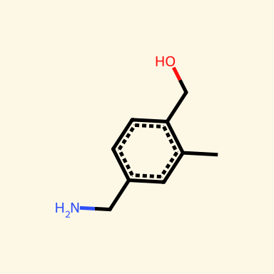 Cc1cc(CN)ccc1CO